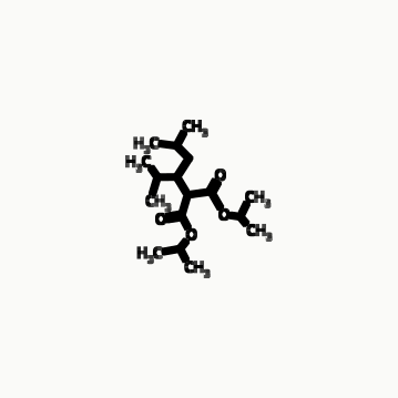 CC(C)CC(C(C)C)C(C(=O)OC(C)C)C(=O)OC(C)C